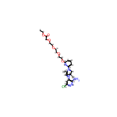 CCOC(=O)COCCOCCOCCOc1cccc(N2C[C@H]3C[C@@H]2CN3c2cc(Cl)nnc2N)n1